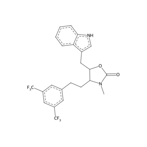 CN1C(=O)OC(Cc2c[nH]c3ccccc23)C1CCc1cc(C(F)(F)F)cc(C(F)(F)F)c1